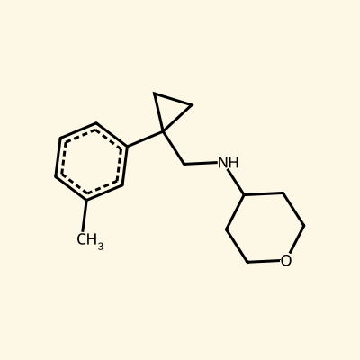 Cc1cccc(C2(CNC3CCOCC3)CC2)c1